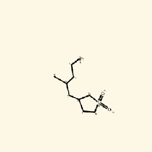 CC(C)CCC(C)CC1CCS(=O)(=O)C1